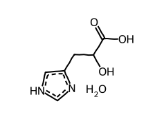 O.O=C(O)C(O)Cc1c[nH]cn1